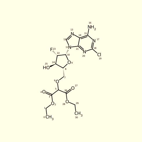 CCOC(=O)C(OC[C@H]1O[C@@H](n2cnc3c(N)nc(Cl)nc32)[C@@H](F)[C@@H]1O)C(=O)OCC